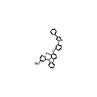 CC(C)(C)c1ccnc(-n2c3ccccc3c3ccc(Oc4cccc(-n5cc(-c6ccccc6)cn5)c4)[c]([Pt])c32)c1